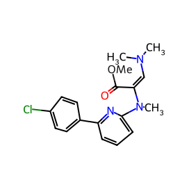 COC(=O)/C(=C\N(C)C)N(C)c1cccc(-c2ccc(Cl)cc2)n1